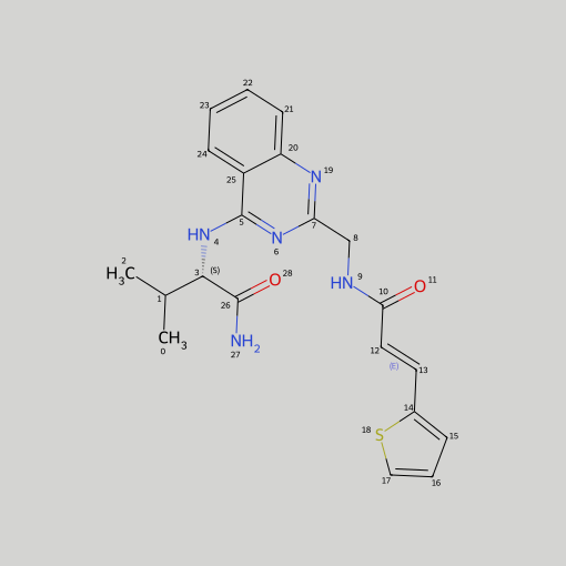 CC(C)[C@H](Nc1nc(CNC(=O)/C=C/c2cccs2)nc2ccccc12)C(N)=O